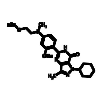 CCCCOCCN(C)c1ccc(-c2nc3c(C)nn(C4CCCCC4)c3c(=O)[nH]2)c(OC)c1